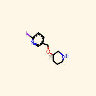 Ic1ccc(CO[C@@H]2CCCNC2)cn1